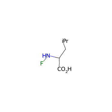 CC(C)CC(NF)C(=O)O